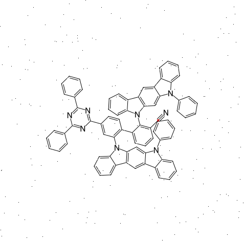 N#Cc1cccc(-c2ccc(-c3nc(-c4ccccc4)nc(-c4ccccc4)n3)cc2-n2c3ccccc3c3cc4c5ccccc5n(-c5ccccc5)c4cc32)c1-n1c2ccccc2c2cc3c4ccccc4n(-c4ccccc4)c3cc21